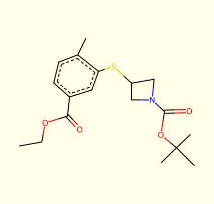 CCOC(=O)c1ccc(C)c(SC2CN(C(=O)OC(C)(C)C)C2)c1